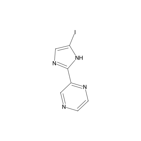 Ic1cnc(-c2cnccn2)[nH]1